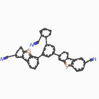 N#Cc1ccc2sc3cc(-c4cc(-c5ccccc5C#N)cc(-c5cccc6c5sc5ccc(C#N)cc56)c4)ccc3c2c1